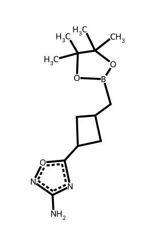 CC1(C)OB(CC2CC(c3nc(N)no3)C2)OC1(C)C